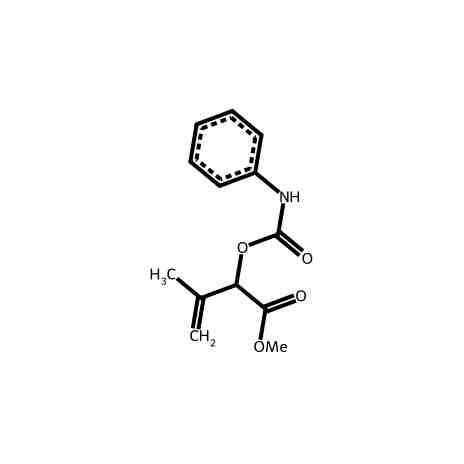 C=C(C)C(OC(=O)Nc1ccccc1)C(=O)OC